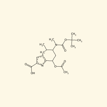 CC(=O)OC(CC(C(C)C)N(C)C(=O)OC(C)(C)C)c1nc(C(=O)O)cs1